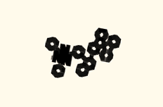 CN1C(c2ccccc2)=NC(c2cccc(-c3c(-c4ccc5c(c4)C4(c6ccccc6-c6ccccc64)c4ccccc4-5)ccc4ccccc34)c2)=NC1c1ccccc1